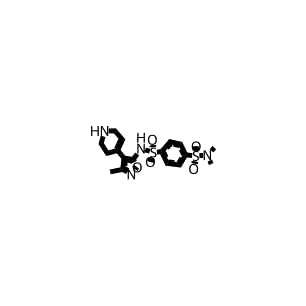 Cc1noc(NS(=O)(=O)c2ccc(S(=O)(=O)N(C)C)cc2)c1C1=CCNCC1